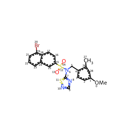 COc1ccc(CN(c2ncns2)S(=O)(=O)c2ccc3c(Br)cccc3c2)c(C)c1